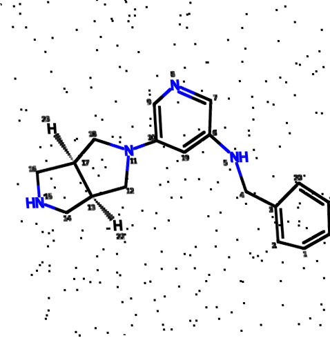 c1ccc(CNc2cncc(N3C[C@H]4CNC[C@H]4C3)c2)cc1